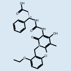 CCOc1cccc(Cl)c1Cn1c(C)c(C)c(O)c(NC(=O)N[C@@H](CC(=O)O)c2ccccc2)c1=O